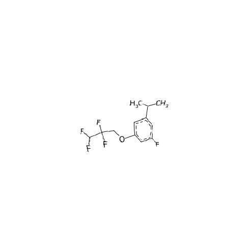 CC(C)c1cc(F)cc(OCC(F)(F)C(F)F)c1